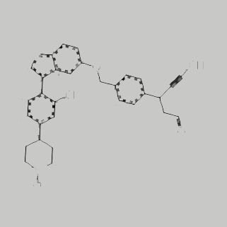 CC#CC(CC=O)c1ccc(COc2ccc3scc(-c4ccc(C5CC[S+]([O-])CC5)cc4C)c3c2)cc1